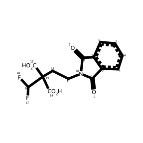 O=C1c2ccccc2C(=O)N1CCC(C(=O)O)(C(=O)O)C(F)F